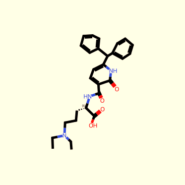 CCN(CC)CCC[C@H](NC(=O)c1ccc(C(c2ccccc2)c2ccccc2)[nH]c1=O)C(=O)O